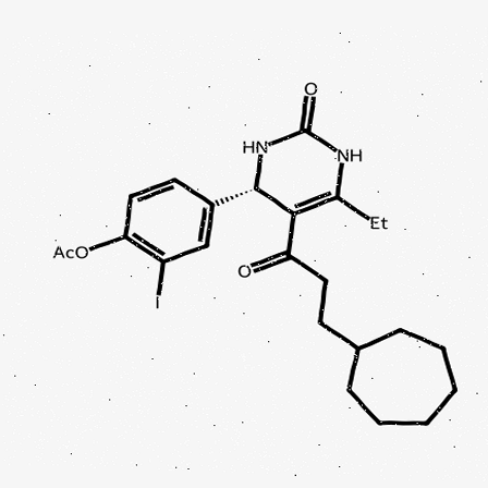 CCC1=C(C(=O)CCC2CCCCCC2)[C@H](c2ccc(OC(C)=O)c(I)c2)NC(=O)N1